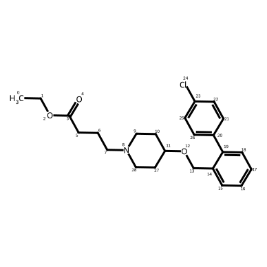 CCOC(=O)CCCN1CCC(OCc2ccccc2-c2ccc(Cl)cc2)CC1